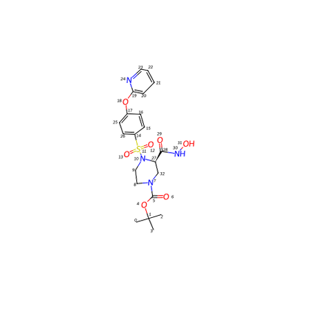 CC(C)(C)OC(=O)N1CCN(S(=O)(=O)c2ccc(Oc3ccccn3)cc2)[C@@H](C(=O)NO)C1